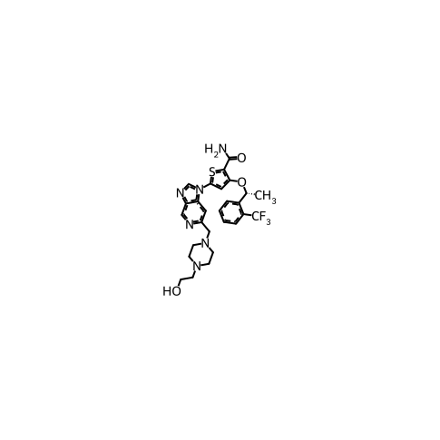 C[C@@H](Oc1cc(-n2cnc3cnc(CN4CCN(CCO)CC4)cc32)sc1C(N)=O)c1ccccc1C(F)(F)F